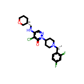 C[C@H](c1ccc(F)cc1F)N1CCC(n2ncc(NC[C@H]3CCCOC3)c(Cl)c2=O)CC1